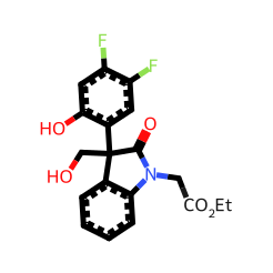 CCOC(=O)CN1C(=O)C(CO)(c2cc(F)c(F)cc2O)c2ccccc21